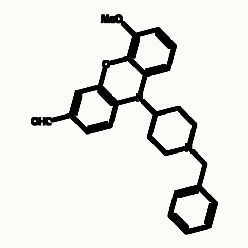 COc1cccc2c1Oc1cc(C=O)ccc1N2C1CCN(Cc2ccccc2)CC1